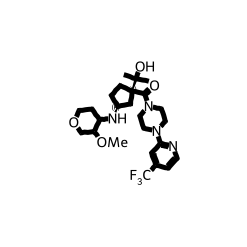 COC1COCCC1N[C@@H]1CC[C@@](C(=O)N2CCN(c3cc(C(F)(F)F)ccn3)CC2)(C(C)(C)O)C1